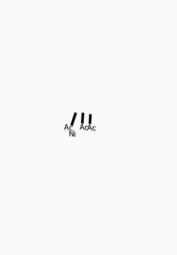 CC(C)=O.CC(C)=O.CC(C)=O.[Ni]